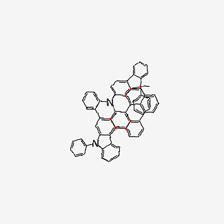 CC1(c2ccccc2)c2ccccc2-c2ccc(N(c3ccccc3-c3ccc4c5ccccc5n(-c5ccccc5)c4c3)c3ccccc3-c3cccc4cccc(-c5ccccc5)c34)cc21